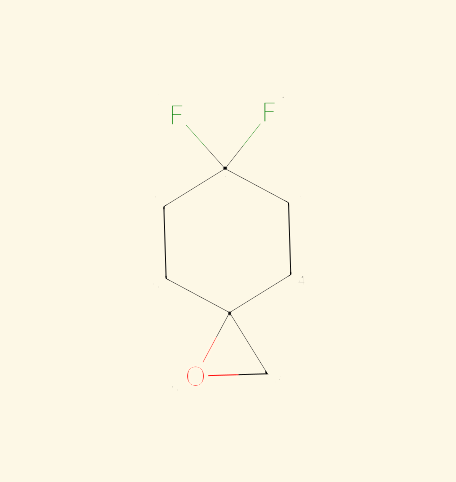 FC1(F)CCC2(CC1)CO2